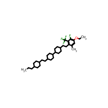 CCCC1CCC(CCC2CCC(C3CCC(CCc4c(C)cc(OCC)c(F)c4C(F)(F)F)CC3)CC2)CC1